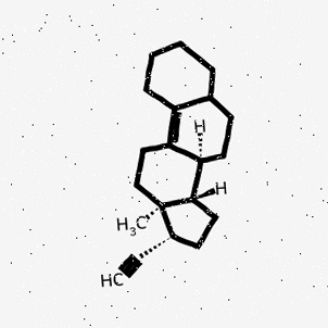 C#C[C@H]1CC[C@H]2[C@@H]3CCC4CCCCC4=C3CC[C@]12C